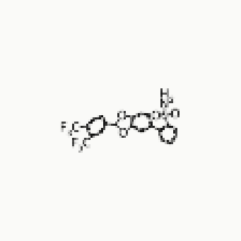 NS(=O)(=O)c1ccccc1-c1ccc2c(c1)OC(c1ccc(C(F)(F)F)c(C(F)(F)F)c1)O2